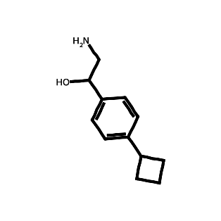 NCC(O)c1ccc(C2CCC2)cc1